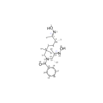 C/C(=N\O)[C@H](C)CCC(C)(C)CN(C(=O)c1ccccc1)[C@@H](C)/C(C)=N/O